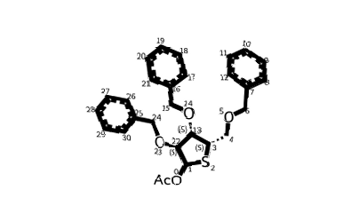 CC(=O)OC1S[C@@H](COCc2ccccc2)[C@@H](OCc2ccccc2)[C@@H]1OCc1ccccc1